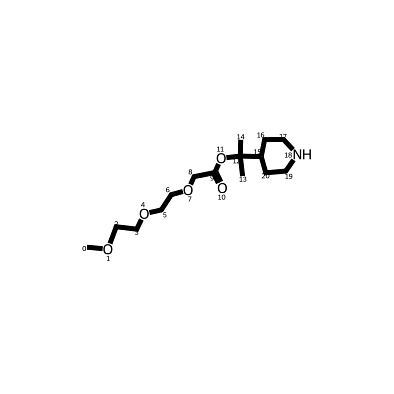 COCCOCCOCC(=O)OC(C)(C)C1CCNCC1